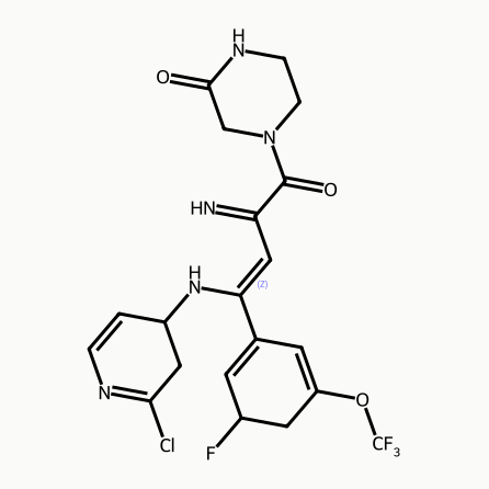 N=C(/C=C(\NC1C=CN=C(Cl)C1)C1=CC(F)CC(OC(F)(F)F)=C1)C(=O)N1CCNC(=O)C1